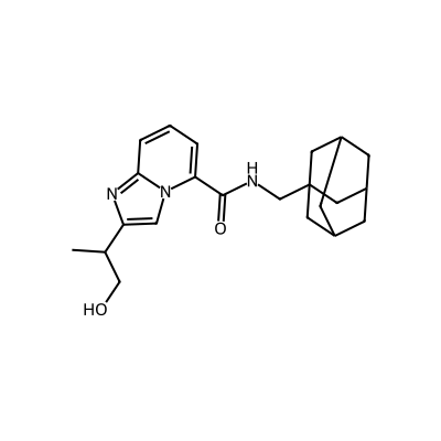 CC(CO)c1cn2c(C(=O)NCC34CC5CC(CC(C5)C3)C4)cccc2n1